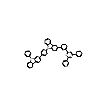 c1ccc(-c2cc(-c3cccc(-c4ccc5c(c4)c4ccccc4n5-c4ccc(-c5ccc6c7ccccc7n(-c7ccccc7)c6c5)cc4)c3)nc(-c3ccccc3)n2)cc1